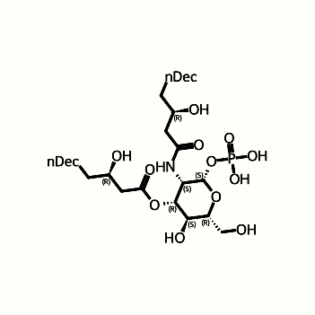 CCCCCCCCCCC[C@@H](O)CC(=O)N[C@@H]1[C@H](OP(=O)(O)O)O[C@H](CO)[C@@H](O)[C@@H]1OC(=O)C[C@H](O)CCCCCCCCCCC